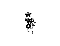 CC1CN(c2nnc(-c3ccc(C(F)(F)F)cc3OC(F)F)c3ccncc23)CC(C)O1